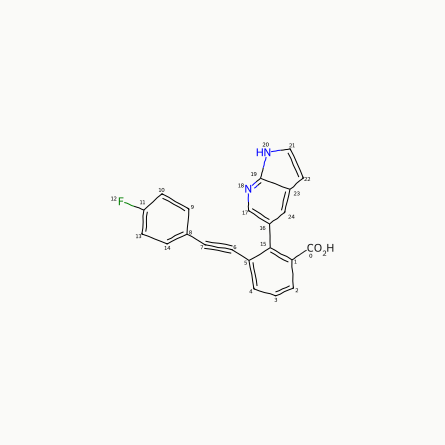 O=C(O)c1cccc(C#Cc2ccc(F)cc2)c1-c1cnc2[nH]ccc2c1